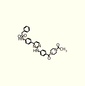 CC(=O)N1CCN(C(=O)c2ccc(Nc3nccc(-c4ccc(NS(=O)(=O)Cc5ccccc5)cc4)n3)cc2)CC1